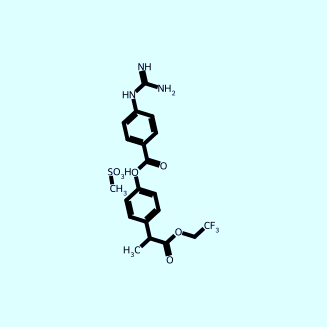 CC(C(=O)OCC(F)(F)F)c1ccc(OC(=O)c2ccc(NC(=N)N)cc2)cc1.CS(=O)(=O)O